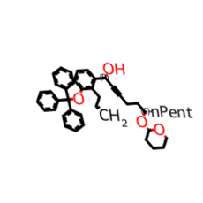 C=CCc1c(OC(c2ccccc2)(c2ccccc2)c2ccccc2)cccc1[C@@H](O)C#CCC[C@H](CCCCC)OC1CCCCO1